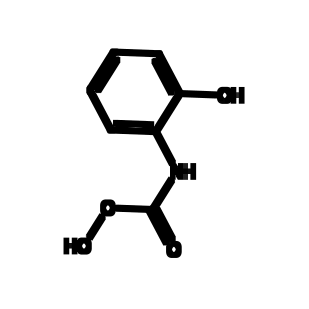 O=C(Nc1ccccc1O)OO